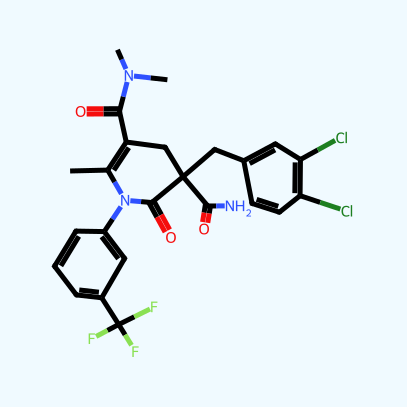 CC1=C(C(=O)N(C)C)CC(Cc2ccc(Cl)c(Cl)c2)(C(N)=O)C(=O)N1c1cccc(C(F)(F)F)c1